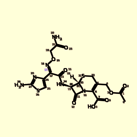 CC(=O)OCC1=C(C(=O)O)N2C(=O)[C@@H](NC(=O)/C(=N\OCC(N)=O)c3csc(N)n3)[C@H]2SC1